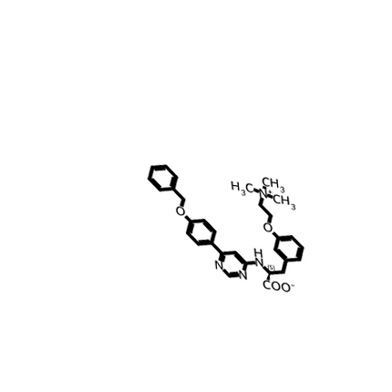 C[N+](C)(C)CCOc1cccc(C[C@H](Nc2cc(-c3ccc(OCc4ccccc4)cc3)ncn2)C(=O)[O-])c1